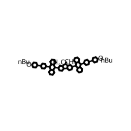 CCCCOc1ccc(-c2ccc(-c3c4ccccc4c(-c4ccc5c(c4)C(C)(C)c4cc(-c6c7ccccc7c(-c7ccc(-c8ccc(OCCCC)cc8)cc7)c7ccccc67)ccc4-5)c4ccccc34)cc2)cc1